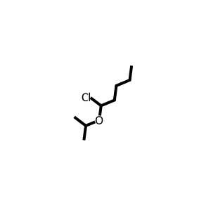 CCCCC(Cl)OC(C)C